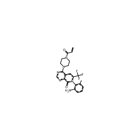 C=CC(=O)N1CCN(c2ncnc3c(=O)n(-c4c(C)cccc4N)c(C(F)(F)F)cc23)CC1